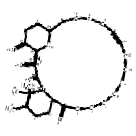 CC1CCC2C(=O)OCCCCCCC=CCCCCC3CCC(=O)C(C)(O3)C(=O)C(=O)N2C1(C)C